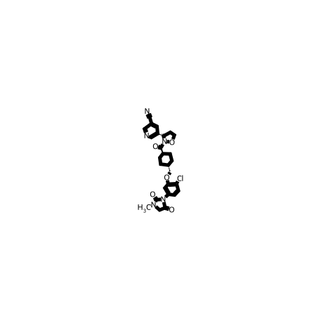 CN1CC(=O)N(c2ccc(Cl)c(OC[C@H]3CC[C@H](C(=O)N4OCC[C@H]4c4cncc(C#N)c4)CC3)c2)C1=O